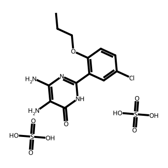 CCCOc1ccc(Cl)cc1-c1nc(N)c(N)c(=O)[nH]1.O=S(=O)(O)O.O=S(=O)(O)O